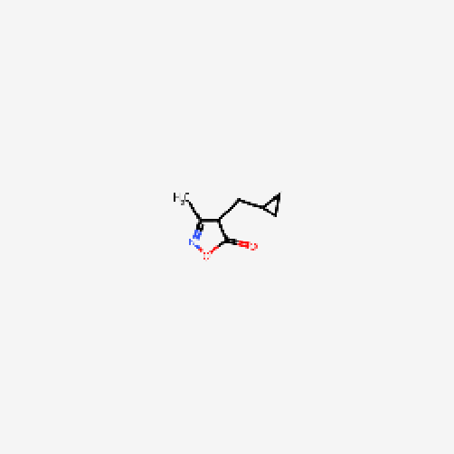 CC1=NOC(=O)C1CC1CC1